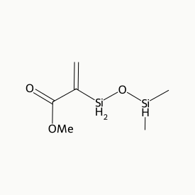 C=C([SiH2]O[SiH](C)C)C(=O)OC